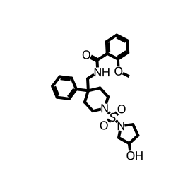 COc1ccccc1C(=O)NCC1(c2ccccc2)CCN(S(=O)(=O)N2CCC(O)C2)CC1